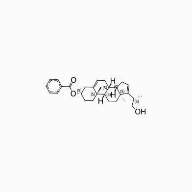 C[C@H](CO)C1=CC[C@H]2[C@H]3CC=C4C[C@@H](OC(=O)c5ccccc5)CC[C@@]4(C)[C@H]3CC[C@]12C